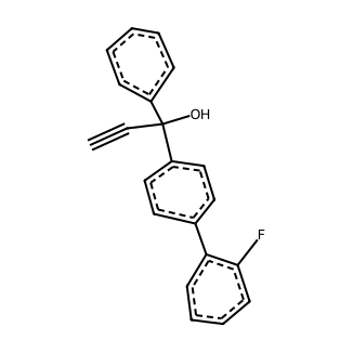 C#CC(O)(c1ccccc1)c1ccc(-c2ccccc2F)cc1